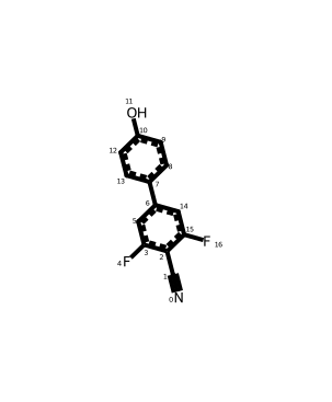 N#Cc1c(F)cc(-c2ccc(O)cc2)cc1F